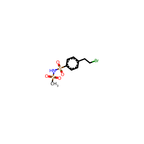 CS(=O)(=O)NS(=O)(=O)c1ccc(CCBr)cc1